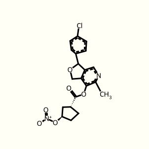 Cc1ncc2c(c1OC(=O)[C@@H]1CC[C@@H](O[N+](=O)[O-])C1)COC2c1ccc(Cl)cc1